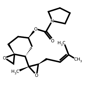 CC(C)=CC[C@H]1O[C@]1(C)[C@H]1C[C@H](OC(=O)N2CCCC2)CC[C@]12CO2